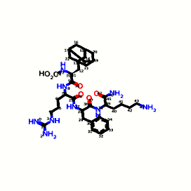 N=C(N)NCCCC(NC(=O)[C@H](CC12CC3CC(CC(C3)C1)C2)NC(=O)O)C(=O)NC(Cc1ccccc1)C(=O)NC(CCCCN)C(N)=O